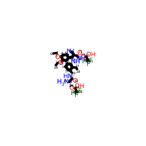 CCOc1cc2ncc(C(N)=O)c(Nc3cccc(CNC(=O)[C@H](C)N)c3CC)c2cc1OCC.O=C(O)C(F)(F)F.O=C(O)C(F)(F)F